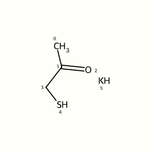 CC(=O)CS.[KH]